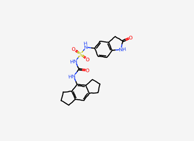 O=C1Cc2cc(NS(=O)(=O)NC(=O)Nc3c4c(cc5c3CCC5)CCC4)ccc2N1